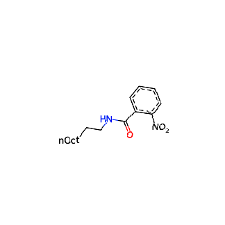 CCCCCCCCCCNC(=O)c1ccccc1[N+](=O)[O-]